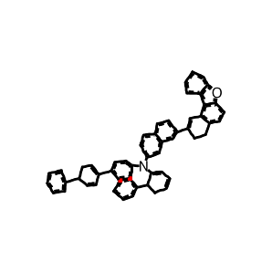 C1=CCC(c2ccccc2)C(N(c2ccc(C3=CCC(c4ccccc4)C=C3)cc2)c2ccc3ccc(C4=Cc5c(ccc6oc7ccccc7c56)CC4)cc3c2)=C1